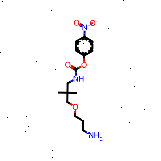 CC(C)(CNC(=O)Oc1ccc([N+](=O)[O-])cc1)COCCCN